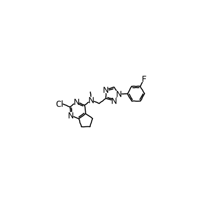 CN(Cc1ncn(-c2cccc(F)c2)n1)c1nc(Cl)nc2c1CCC2